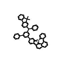 CC1(C)c2ccccc2-c2ccc(C(c3ccccc3)c3cc(-c4ccccc4)cc(-c4ccc5c6ccc7cccc8c9ccccc9n(c5c4)c6c78)c3)cc21